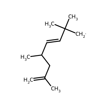 [CH2]C(C)(C)C=CC(C)CC(=C)C